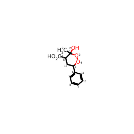 CC1(O)OOC(c2ccccc2)CC1C(=O)O